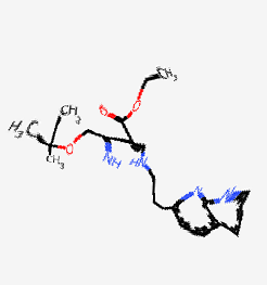 CCOC(=O)/C(=C/NCCc1ccc2cccnc2n1)C(=N)COC(C)(C)C